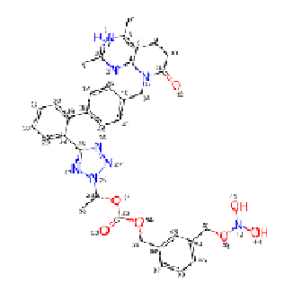 C=C(C)/N=C1\C(=C(\C)N)CCC(=O)N1Cc1ccc(-c2ccccc2-c2nnn(C(C)OC(=O)OCc3cccc(CON(O)O)c3)n2)cc1